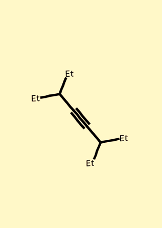 CCC(C#CC(CC)CC)CC